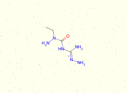 CCN(N)C(=O)N/C(N)=N/N